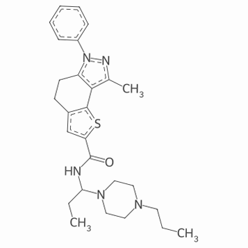 CCCN1CCN(C(CC)NC(=O)c2cc3c(s2)-c2c(C)nn(-c4ccccc4)c2CC3)CC1